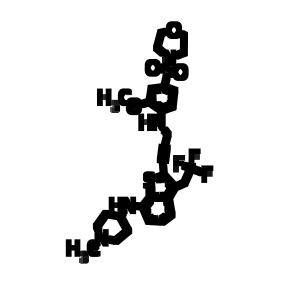 COc1cc(S(=O)(=O)N2CCOCC2)ccc1NCC#Cc1sc2c(NC3CCN(C)CC3)cccc2c1CC(F)(F)F